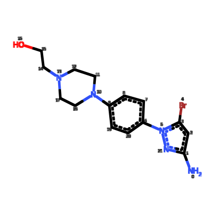 Nc1cc(Br)n(-c2ccc(N3CCN(CCO)CC3)cc2)n1